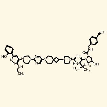 C#Cc1ccc(CNC(=O)[C@@H]2C[C@@H](O)CN2C(=O)[C@@H](NC(=O)N2CCN(C3CC4(CCN(c5cnc(N6CCN(c7cc(-c8ccccc8O)nnc7NCC)CC6)nc5)CC4)C3)CC2)C(C)(C)C)cc1